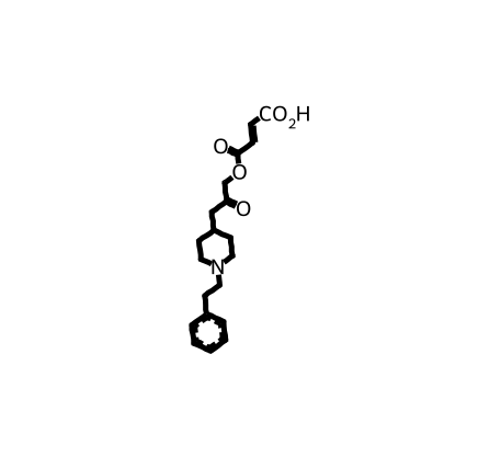 O=C(O)/C=C/C(=O)OCC(=O)CC1CCN(CCc2ccccc2)CC1